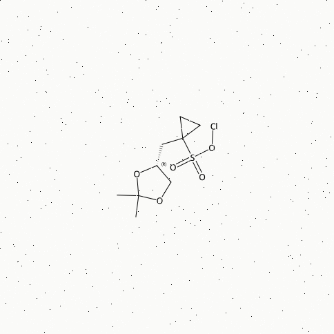 CC1(C)OC[C@@H](CC2(S(=O)(=O)OCl)CC2)O1